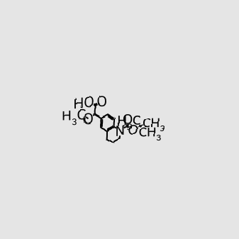 COC(C(=O)O)c1ccc2c(c1)CCCN2C(=O)OC(C)(C)C